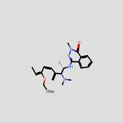 C=C(/C=C\C(=C/C)OCOC)[C@@H]([C@H](C)Nc1nn(C)c(=O)c2ccccc12)N(C)C